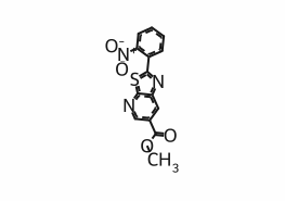 COC(=O)c1cnc2sc(-c3ccccc3[N+](=O)[O-])nc2c1